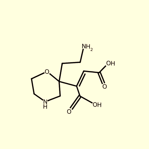 NCCC1(C(=CC(=O)O)C(=O)O)CNCCO1